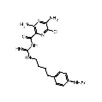 CC(=O)Nc1ccc(CCCCNC(=N)NC(=O)c2nc(Cl)c(N)nc2N)cc1